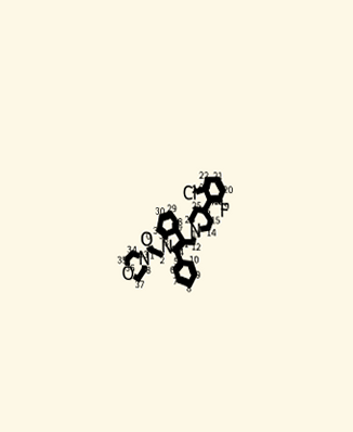 O=C(Cn1c(-c2ccccc2)c(CN2CCC(c3c(F)cccc3Cl)CC2)c2ccccc21)N1CCOCC1